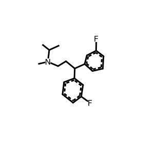 CC(C)N(C)CCC(c1cccc(F)c1)c1cccc(F)c1